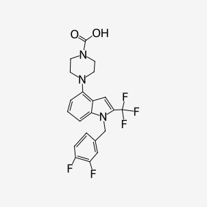 O=C(O)N1CCN(c2cccc3c2cc(C(F)(F)F)n3Cc2ccc(F)c(F)c2)CC1